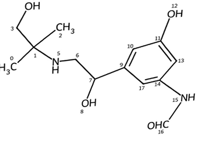 CC(C)(CO)NCC(O)c1cc(O)cc(NC=O)c1